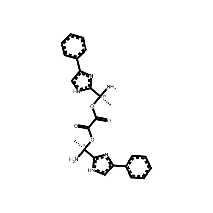 C[C@](N)(OC(=O)C(=O)O[C@](C)(N)c1nc(-c2ccccc2)c[nH]1)c1nc(-c2ccccc2)c[nH]1